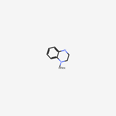 CCCCCCN1CC[N]c2ccccc21